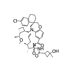 C=CC[C@H](C)[C@@H](C)S(=O)(=NC(=O)c1ccc2c(c1)N(C[C@@H]1CC[C@H]1[C@H](C)OC)C[C@@]1(CCCc3cc(Cl)ccc31)CO2)NC(=O)C1CC(C)(O)C1